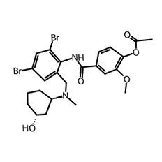 COc1cc(C(=O)Nc2c(Br)cc(Br)cc2CN(C)[C@@H]2CCC[C@@H](O)C2)ccc1OC(C)=O